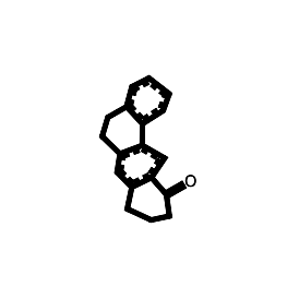 O=C1CCCc2cc3c(cc21)-c1ccccc1CC3